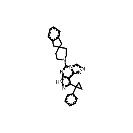 c1ccc(C2(c3n[nH]c4nc(N5CCC6(CC5)Cc5ccccc5C6)n5cnnc5c34)CC2)cc1